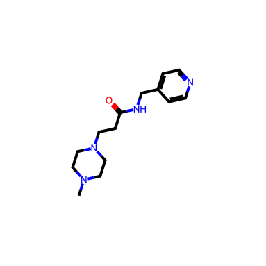 CN1CCN(CCC(=O)NCc2ccncc2)CC1